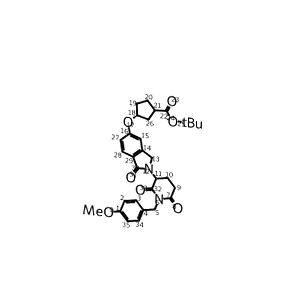 COc1ccc(CN2C(=O)CCC(N3Cc4cc(O[C@H]5CCC(C(=O)OC(C)(C)C)C5)ccc4C3=O)C2=O)cc1